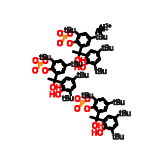 CC(C)(C)c1cc(C(C)(C)C)c(O)c(C(C)(O)c2cc(C(C)(C)C)cc(C(C)(C)C)c2OP(=O)([O-])[O-])c1.CC(C)(C)c1cc(C(C)(C)C)c(O)c(C(C)(O)c2cc(C(C)(C)C)cc(C(C)(C)C)c2OP(=O)([O-])[O-])c1.CC(C)(C)c1cc(C(C)(C)C)c(O)c(C(C)(O)c2cc(C(C)(C)C)cc(C(C)(C)C)c2OP(=O)([O-])[O-])c1.[Al+3].[Al+3]